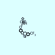 O=S(=O)(NCCOc1ccc2c(c1)C(Cc1cccc(C(F)(F)F)c1)C(N1CCC1)C2)C1CCC1